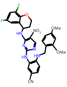 COc1ccc(CNc2ccc(C#N)cc2Nc2ncc([N+](=O)[O-])c(NC3CCOc4c(F)cc(F)cc43)n2)c(OC)c1